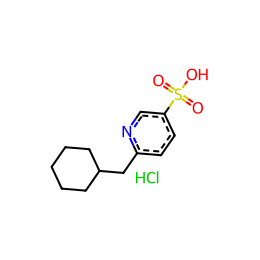 Cl.O=S(=O)(O)c1ccc(CC2CCCCC2)nc1